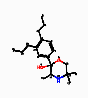 CCCc1ccc(C2(O)OCC(C)(C)NC2C)cc1CCC